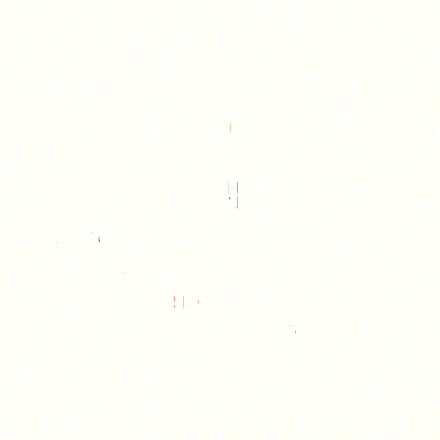 O=C(O)[C@@H](Cc1ccccc1)NCc1c(Cl)cccc1[N+](=O)[O-]